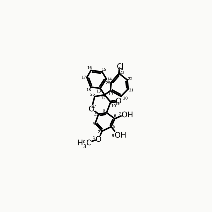 COc1cc2c(c(O)c1O)C(=O)C(c1ccccc1)(c1cccc(Cl)c1)CO2